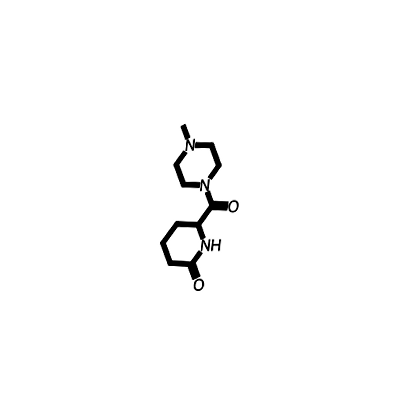 CN1CCN(C(=O)C2CCCC(=O)N2)CC1